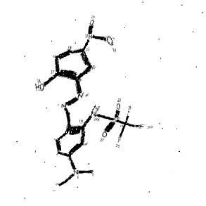 CN(C)c1ccc(N=Nc2cc([N+](=O)[O-])ccc2O)c(NS(=O)(=O)C(F)(F)F)c1